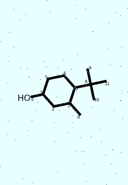 CC1CC(O)CCC1C(C)(C)C